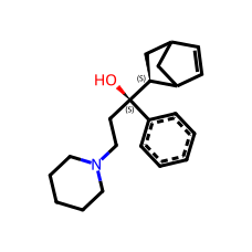 O[C@](CCN1CCCCC1)(c1ccccc1)[C@H]1CC2C=CC1C2